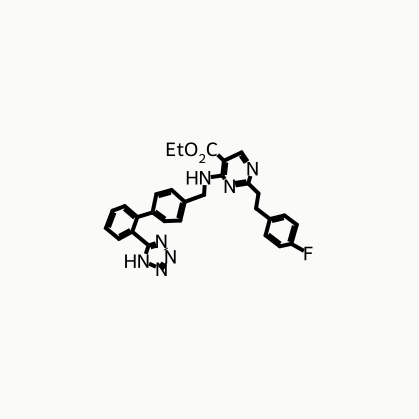 CCOC(=O)c1cnc(CCc2ccc(F)cc2)nc1NCc1ccc(-c2ccccc2-c2nnn[nH]2)cc1